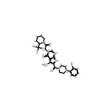 Cc1c(C(=O)N2CCN(c3ccccc3F)CC2)sc2ncn(CC(=O)N3CCCCC3C(F)(F)F)c(=O)c12